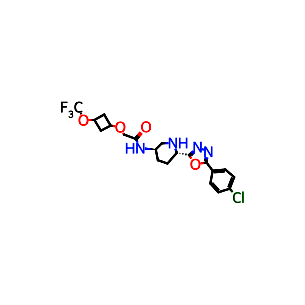 O=C(COC1CC(OC(F)(F)F)C1)N[C@@H]1CC[C@@H](c2nnc(-c3ccc(Cl)cc3)o2)NC1